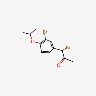 CC(=O)C(Br)c1ccc(OC(C)C)c(Br)c1